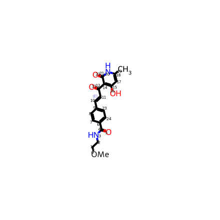 COCCNC(=O)c1ccc(/C=C/C(=O)c2c(O)cc(C)[nH]c2=O)cc1